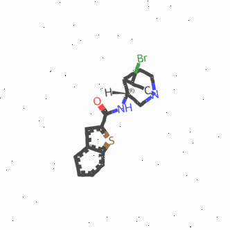 O=C(N[C@H]1CN2CCC1C(Br)C2)c1cc2ccccc2s1